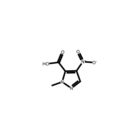 Cn1ncc([N+](=O)[O-])c1C(=O)O